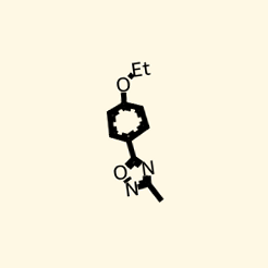 CCOc1ccc(-c2nc(C)no2)cc1